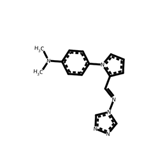 CN(C)c1ccc(-n2cccc2/C=N/n2cnnc2)cc1